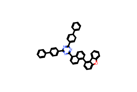 C1=CC(c2ccccc2)CC=C1c1nc(-c2ccc(-c3ccccc3)cc2)nc(-c2cccc3c(-c4cccc5oc6ccccc6c45)cccc23)n1